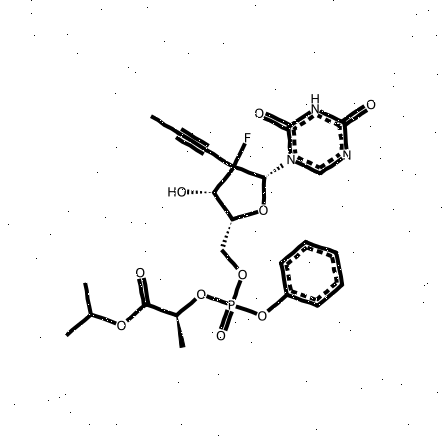 CC#CC1(F)[C@@H](O)[C@@H](COP(=O)(Oc2ccccc2)O[C@@H](C)C(=O)OC(C)C)O[C@H]1n1cnc(=O)[nH]c1=O